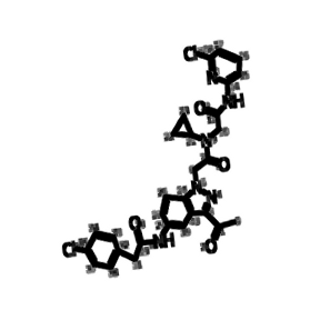 CC(=O)c1nn(CC(=O)N(CC(=O)Nc2cccc(Cl)n2)C2CC2)c2ccc(NC(=O)Cc3ccc(Cl)cc3)cc12